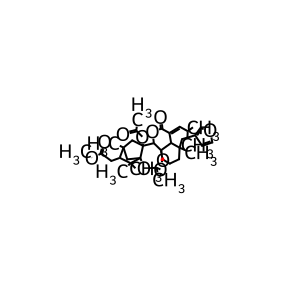 COC(=O)CC1C2(C)CC3(OC(C)=O)C4OC(=O)/C(=C/C(C)C)C5C(C)(Cc6ccoc6)CCC6OC(C)(OC654)OC3(C2)C1(C)C